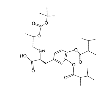 CC(CN[C@@H](Cc1ccc(OC(=O)C(C)C(C)C)c(OC(=O)C(C)C(C)C)c1)C(=O)O)OC(=O)OC(C)(C)C